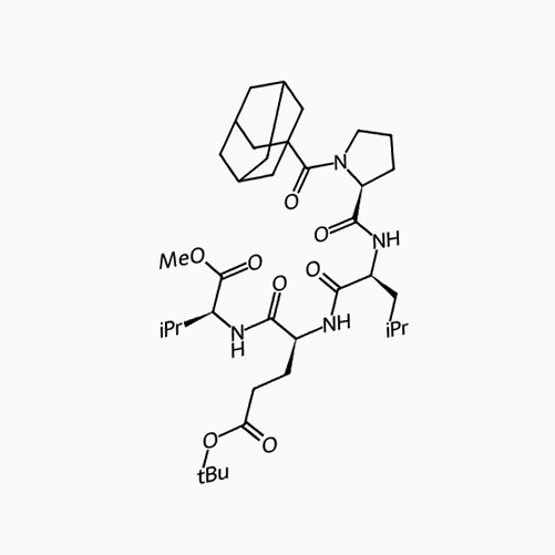 COC(=O)[C@@H](NC(=O)[C@H](CCC(=O)OC(C)(C)C)NC(=O)[C@H](CC(C)C)NC(=O)[C@@H]1CCCN1C(=O)C12CC3CC(CC(C3)C1)C2)C(C)C